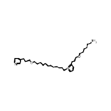 NCCCCCCOCCCc1ccc[n+](CCCCCCCCCCCCOCCCc2cccnc2)c1